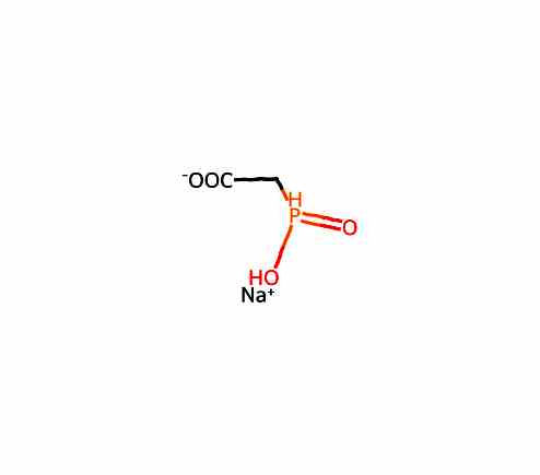 O=C([O-])C[PH](=O)O.[Na+]